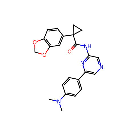 CN(C)c1ccc(-c2cncc(NC(=O)C3(c4ccc5c(c4)OCO5)CC3)n2)cc1